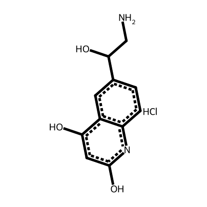 Cl.NCC(O)c1ccc2nc(O)cc(O)c2c1